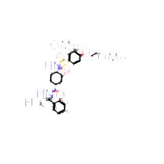 COCCOc1ccc(S(=O)(=O)N[C@H]2CC[C@H](C(=O)N[C@H](C)c3ccccc3)CC2)cc1OC